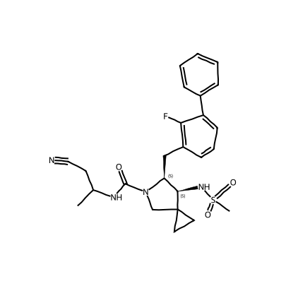 CC(CC#N)NC(=O)N1CC2(CC2)[C@H](NS(C)(=O)=O)[C@@H]1Cc1cccc(-c2ccccc2)c1F